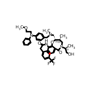 COCCN(c1ccccc1)c1ccc(CN(C)C[C@H]2Oc3c(NC(=O)Cc4ccc(C(F)(F)F)cc4)cccc3C(=O)N([C@@H](C)CO)C[C@H]2C)cc1